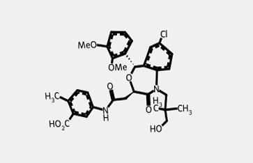 COc1cccc([C@H]2O[C@H](CC(=O)Nc3ccc(C)c(C(=O)O)c3)C(=O)N(CC(C)(C)CO)c3ccc(Cl)cc32)c1OC